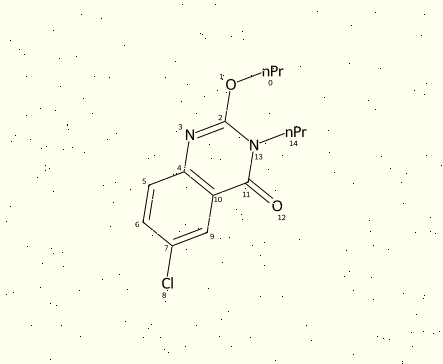 CCCOc1nc2ccc(Cl)cc2c(=O)n1CCC